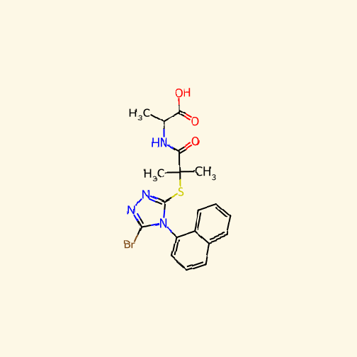 CC(NC(=O)C(C)(C)Sc1nnc(Br)n1-c1cccc2ccccc12)C(=O)O